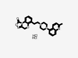 Cc1ccc2c(N3CCN(CCc4cccc5c4OCc4noc(=O)n4-5)CC3)cccc2n1.Cl.Cl